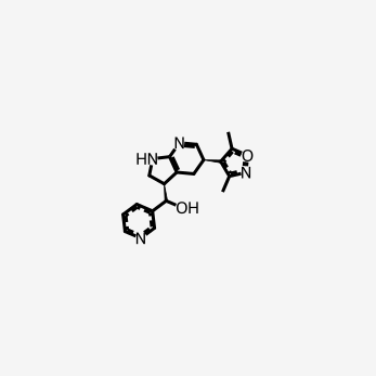 Cc1noc(C)c1[C@@H]1C=NC2=C(C1)[C@@H](C(O)c1cccnc1)CN2